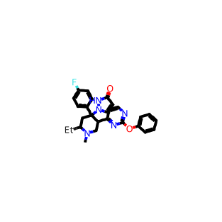 CCC1CC(c2ccc(F)cc2)(n2ccc(=O)[nH]2)C(c2ccnc(Oc3ccccc3)n2)CN1C